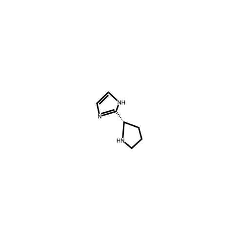 [c]1cnc([C@@H]2CCCN2)[nH]1